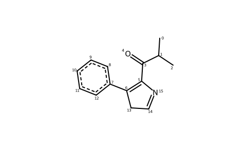 CC(C)C(=O)C1=C(c2ccccc2)CC=N1